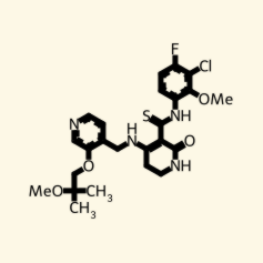 COc1c(NC(=S)C2=C(NCc3ccncc3OCC(C)(C)OC)CCNC2=O)ccc(F)c1Cl